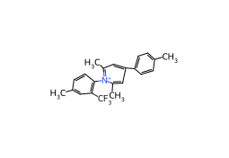 Cc1ccc(-c2cc(C)[n+](-c3ccc(C)cc3C(F)(F)F)c(C)c2)cc1